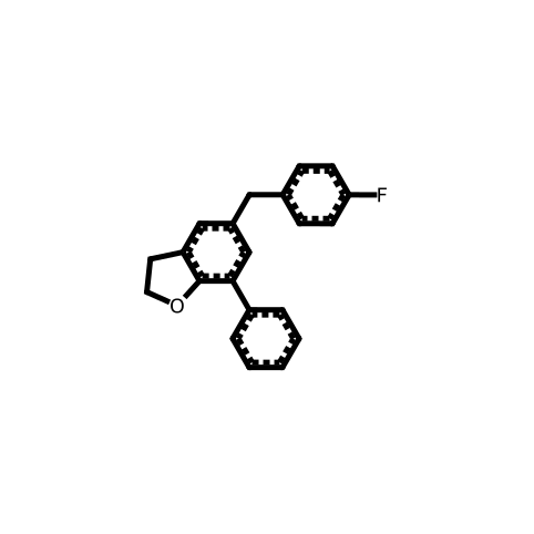 Fc1ccc(Cc2cc3c(c(-c4ccccc4)c2)OCC3)cc1